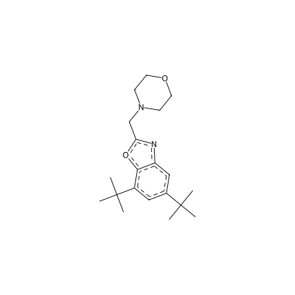 CC(C)(C)c1cc(C(C)(C)C)c2oc(CN3CCOCC3)nc2c1